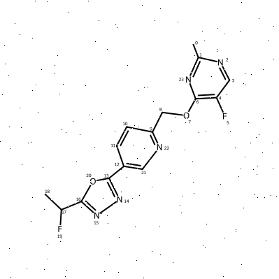 Cc1ncc(F)c(OCc2ccc(-c3nnc(C(C)F)o3)cn2)n1